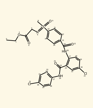 CCOC(=O)CN=S(C)(=O)c1ccc(C(=O)Nc2ccc(Cl)cc2C(=O)Nc2ccc(Cl)cn2)cc1